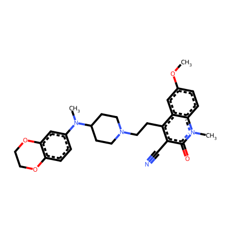 COc1ccc2c(c1)c(CCN1CCC(N(C)c3ccc4c(c3)OCCO4)CC1)c(C#N)c(=O)n2C